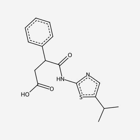 CC(C)c1cnc(NC(=O)C(CC(=O)O)c2ccccc2)s1